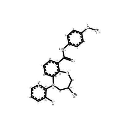 O=C(Nc1ccc(OC(F)(F)F)cc1)c1cccc2c1OCC(O)CN2c1ncccc1Cl